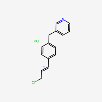 Cl.ClC/C=C/c1ccc(Cc2cccnc2)cc1